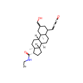 CC(C)CNC(=O)[C@H]1CC[C@H]2[C@@H]3CCC4C(C=C=C=O)CC(=CO)C[C@]4(C)[C@H]3CC[C@]12C